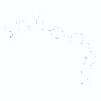 C[C@@]1(COc2ccc(N3CCN(Cc4ccc(OC(F)(F)F)cc4)CC3)cc2)Cn2cc([N+](=O)[O-])nc2O1